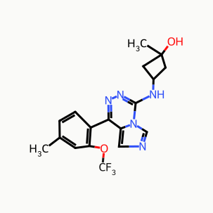 Cc1ccc(-c2nnc(NC3CC(C)(O)C3)n3cncc23)c(OC(F)(F)F)c1